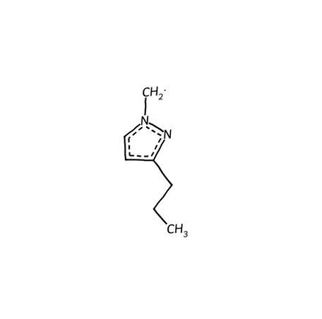 [CH2]n1ccc(CCC)n1